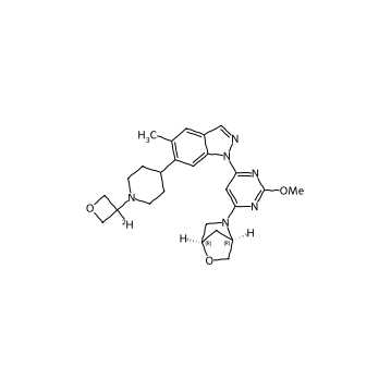 [2H]C1(N2CCC(c3cc4c(cnn4-c4cc(N5C[C@H]6C[C@@H]5CO6)nc(OC)n4)cc3C)CC2)COC1